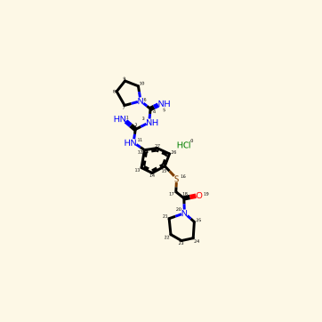 Cl.N=C(NC(=N)N1CCCC1)Nc1ccc(SCC(=O)N2CCCCC2)cc1